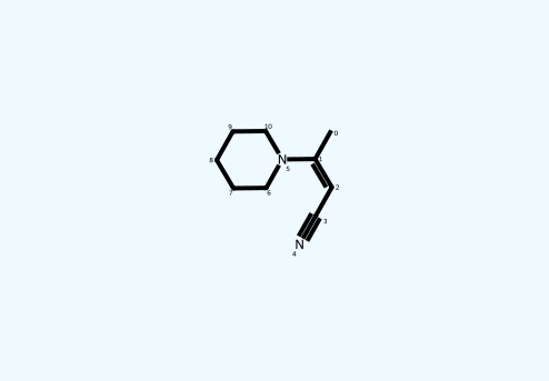 C/C(=C/C#N)N1CCCCC1